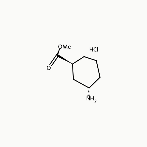 COC(=O)[C@H]1CCC[C@H](N)C1.Cl